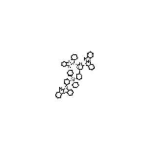 c1ccc([Si](c2ccccc2)(c2cccc(-c3cc(-n4c5ccccc5n5c6ccccc6nc45)nc(-n4c5ccccc5n5c6ccccc6nc45)n3)c2)c2cccc(-n3c4ccccc4n4c5ccccc5nc34)c2)cc1